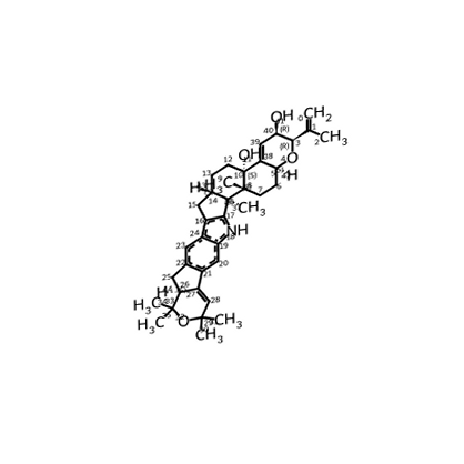 C=C(C)[C@H]1O[C@H]2CC[C@@]3(C)[C@@](O)(CC[C@H]4Cc5c([nH]c6cc7c(cc56)C[C@H]5C7=CC(C)(C)OC5(C)C)[C@@]43C)C2=C[C@H]1O